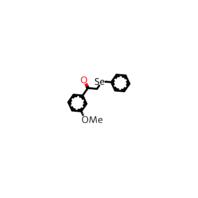 COc1cccc(C(=O)C[Se]c2ccccc2)c1